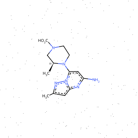 Cc1cc2nc(N)cc(N3CCN(C(=O)O)C[C@@H]3C)n2n1